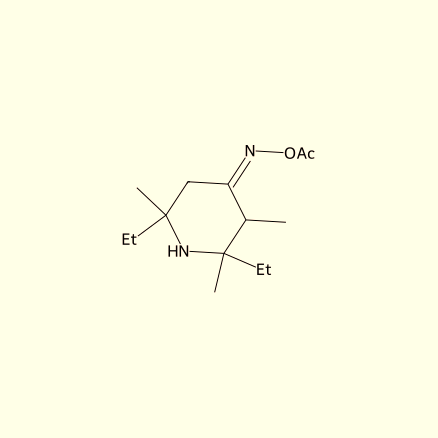 CCC1(C)CC(=NOC(C)=O)C(C)C(C)(CC)N1